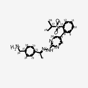 C/C(=N\Nc1ncc(-c2ccccc2S(=O)(=O)C(C)C)cn1)c1ccc(CN)cc1